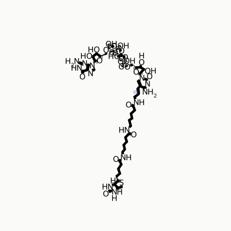 Nc1nc2c(ncn2[C@@H]2O[C@H](COP(=O)(O)OP(=O)(O)OP(=O)(O)OP(=O)(O)OC[C@H]3O[C@@H](n4cc(/C=C/CNC(=O)CCCCCNC(=O)CCCCCNC(=O)CCCC[C@H]5SC[C@H]6NC(=O)N[C@H]65)c(N)nc4=O)C(O)C3O)C(O)C2O)c(=O)[nH]1